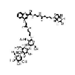 CC(=O)N[C@H]1[C@H](OCCCNC(=O)COc2cc(C(=O)NCCNC(=O)CCCC[C@@H]3SC[C@@H]4NC(=O)N[C@@H]43)nc3ccccc23)O[C@H](CO)[C@@H](O[C@@H]2O[C@H](CO)[C@H](O)[C@H](O[C@H]3O[C@H](CO)[C@H](O)[C@H](O)[C@H]3O)[C@H]2O)[C@@H]1O